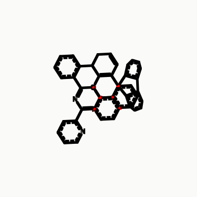 C1=CC2=C(Oc3ccccc3C23c2ccccc2-c2ccccc23)C(c2ccccc2C2=NC(c3ccccn3)=NC(c3ccccc3)C2)C1